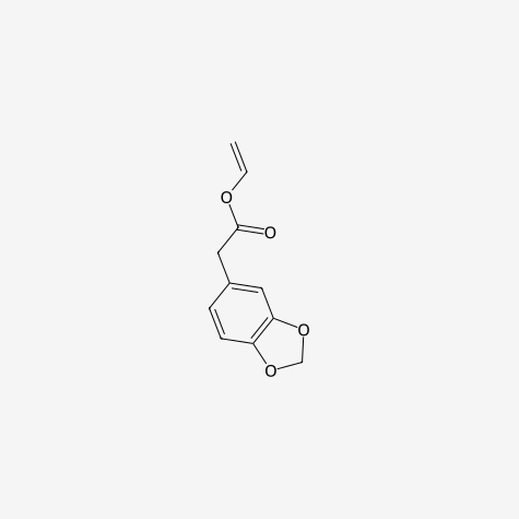 C=COC(=O)Cc1ccc2c(c1)OCO2